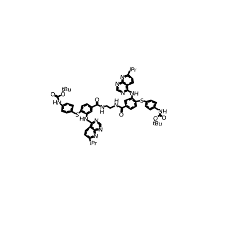 CC(C)c1ccc2c(Nc3cc(C(=O)NCCNC(=O)c4ccc(Sc5ccc(NC(=O)OC(C)(C)C)cc5)c(Nc5ncnc6nc(C(C)C)ccc56)c4)ccc3Sc3ccc(NC(=O)OC(C)(C)C)cc3)ncnc2n1